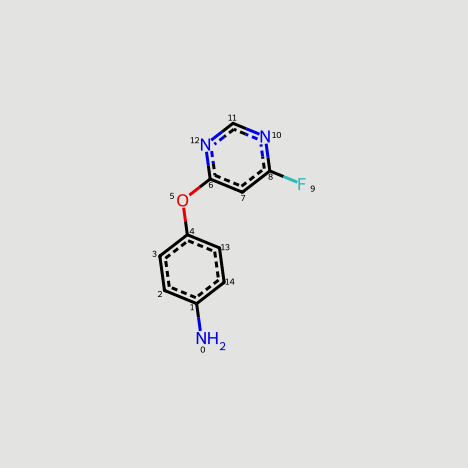 Nc1ccc(Oc2cc(F)ncn2)cc1